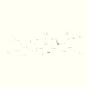 CC1(C)CC[C@]2(C(=O)O)CC[C@]3(C)C(=CCC4[C@@]5(C)CC[C@@H]6[C@H]([C@@H]7OC(CF)[C@@H](O)C(O)C7O)O[C@@]6(C)C5CC[C@]43C)C2C1